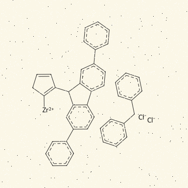 [Cl-].[Cl-].[Zr+2][C]1=C(C2c3cc(-c4ccccc4)ccc3-c3ccc(-c4ccccc4)cc32)C=CC1.c1ccc(Cc2ccccc2)cc1